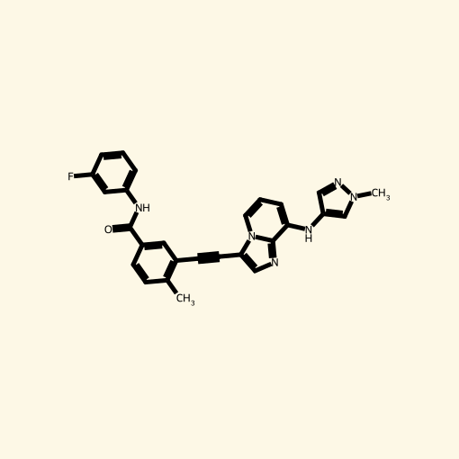 Cc1ccc(C(=O)Nc2cccc(F)c2)cc1C#Cc1cnc2c(Nc3cnn(C)c3)cccn12